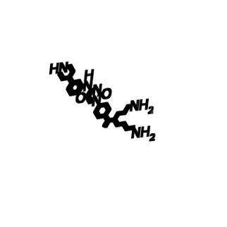 C=C(C(CCCN)CCCCN)C1CCC(n2cc3c(nc2=O)Nc2cc(C4CCNCC4)ccc2O3)CC1